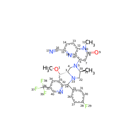 COC[C@@H]1CN(c2cc(=O)n(C)c3ccc(C#N)nc23)[C@@H](C)CN1C(c1ccc(F)cc1)c1ccc(C(F)(F)F)cn1